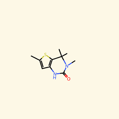 Cc1cc2c(s1)C(C)(C)N(C)C(=O)N2